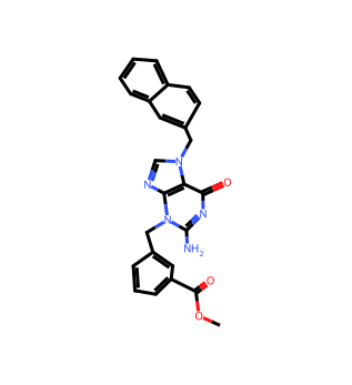 COC(=O)c1cccc(Cn2c(N)nc(=O)c3c2ncn3Cc2ccc3ccccc3c2)c1